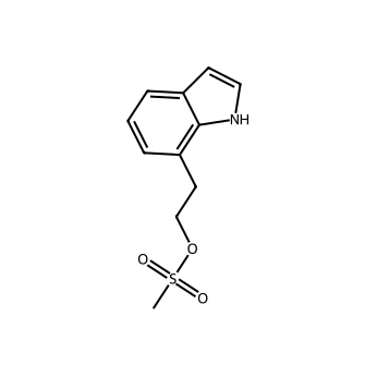 CS(=O)(=O)OCCc1cccc2cc[nH]c12